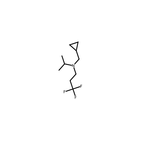 CC(C)N(CCC(F)(F)F)CC1CC1